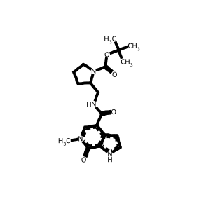 Cn1cc(C(=O)NCC2CCCN2C(=O)OC(C)(C)C)c2cc[nH]c2c1=O